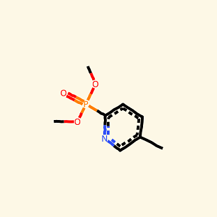 COP(=O)(OC)c1ccc(C)cn1